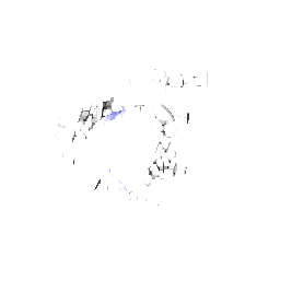 COC1CC2CCC(C)C(O)(O2)C(=O)C(=O)N2CCCCC2C(=O)OC(C(C)CC2CCC(OCCO)C(OC)C2)CC(=O)C(C)/C=C(\C)C(O)C(OC)C(=O)C(C)CC(C)/C=C/C=C/C=C/1C